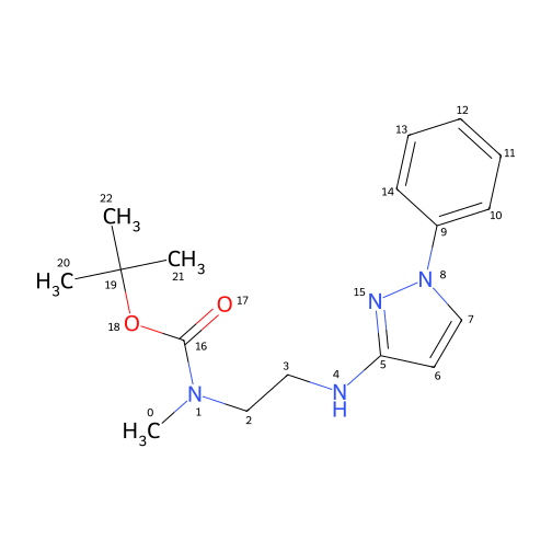 CN(CCNc1ccn(-c2ccccc2)n1)C(=O)OC(C)(C)C